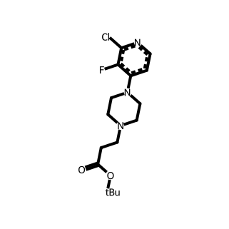 CC(C)(C)OC(=O)CCN1CCN(c2ccnc(Cl)c2F)CC1